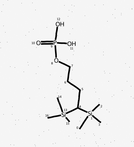 C[Si](C)(C)C(CCCOP(=O)(O)O)[Si](C)(C)C